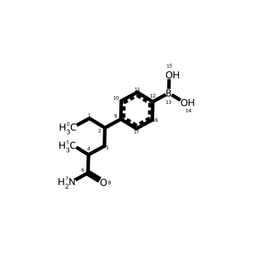 CCC(CC(C)C(N)=O)c1ccc(B(O)O)cc1